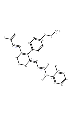 C=C(C)/C=C/C1=C(c2ccc(CCC(=O)O)cc2)C(=C/C=C(\C)N(C)c2ccccc2C)/CCC1